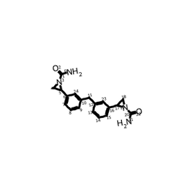 NC(=O)N1CC1c1cccc(Cc2cccc(C3CN3C(N)=O)c2)c1